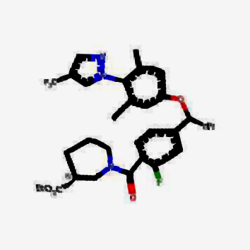 CCCC(Oc1cc(C)c(-n2cc(C(F)(F)F)cn2)c(C)c1)c1ccc(C(=O)N2CCC[C@H](C(=O)OCC)C2)c(F)c1